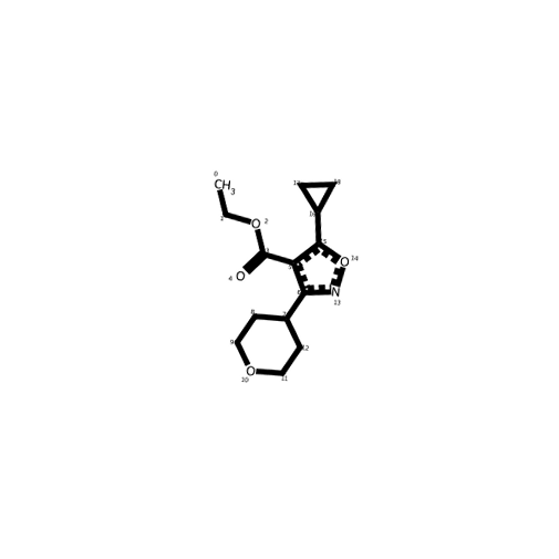 CCOC(=O)c1c(C2CCOCC2)noc1C1CC1